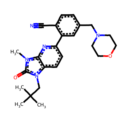 Cn1c(=O)n(CC(C)(C)C)c2ccc(-c3cc(CN4CCOCC4)ccc3C#N)nc21